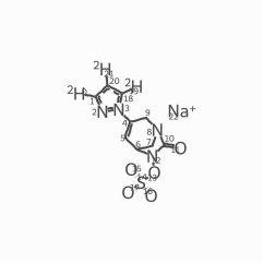 [2H]c1nn(C2=CC3CN(C2)C(=O)N3OS(=O)(=O)[O-])c([2H])c1[2H].[Na+]